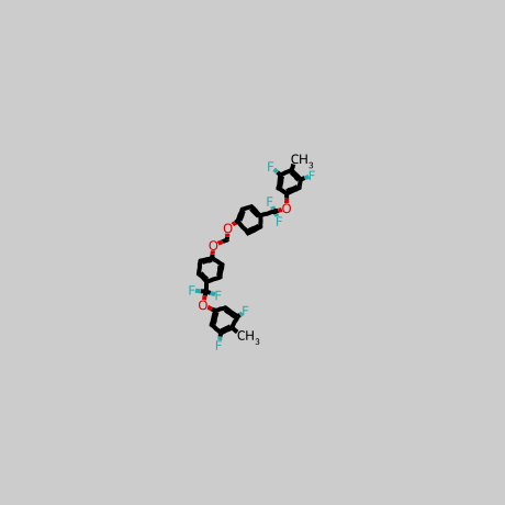 Cc1c(F)cc(OC(F)(F)c2ccc(OCOc3ccc(C(F)(F)Oc4cc(F)c(C)c(F)c4)cc3)cc2)cc1F